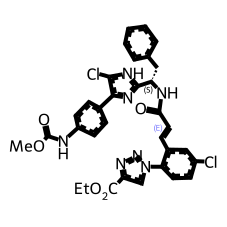 CCOC(=O)c1cn(-c2ccc(Cl)cc2/C=C/C(=O)N[C@@H](Cc2ccccc2)c2nc(-c3ccc(NC(=O)OC)cc3)c(Cl)[nH]2)nn1